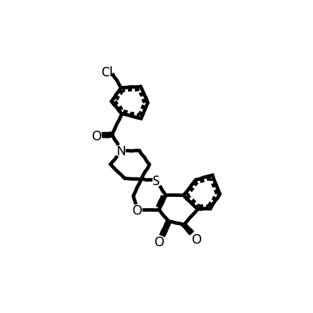 O=C1C(=O)c2ccccc2C2=C1OCC1(CCN(C(=O)c3cccc(Cl)c3)CC1)S2